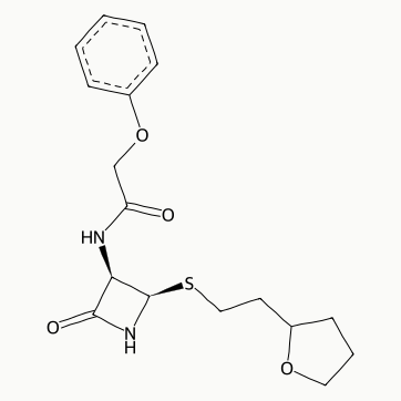 O=C(COc1ccccc1)N[C@@H]1C(=O)N[C@@H]1SCCC1CCCO1